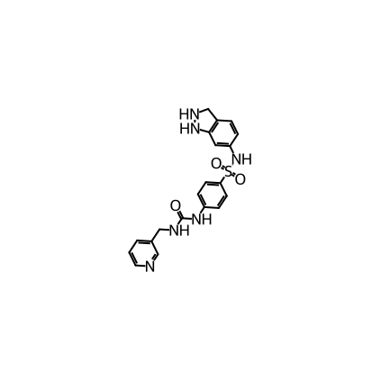 O=C(NCc1cccnc1)Nc1ccc(S(=O)(=O)Nc2ccc3c(c2)NNC3)cc1